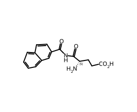 N[C@@H](CCC(=O)O)C(=O)NC(=O)c1ccc2ccccc2c1